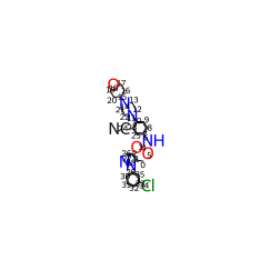 Cc1c(OC(=O)Nc2ccc(N3CCN(C4CCOCC4)CC3)c(C#N)c2)cnn1-c1cccc(Cl)c1